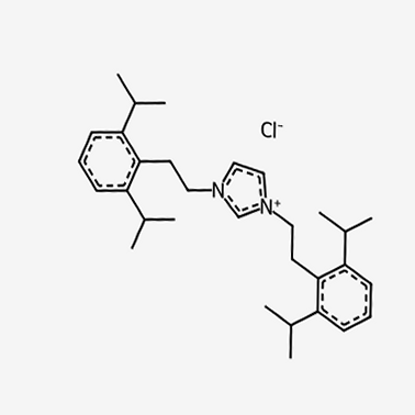 CC(C)c1cccc(C(C)C)c1CCn1cc[n+](CCc2c(C(C)C)cccc2C(C)C)c1.[Cl-]